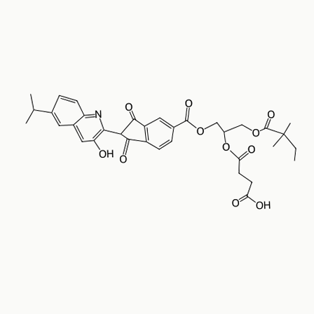 CCC(C)(C)C(=O)OCC(COC(=O)c1ccc2c(c1)C(=O)C(c1nc3ccc(C(C)C)cc3cc1O)C2=O)OC(=O)CCC(=O)O